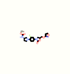 CC(C)(C)OC(=O)N[C@@H]1CCN(c2ccc(N3CC(COc4ccon4)OC3=O)cc2F)C1